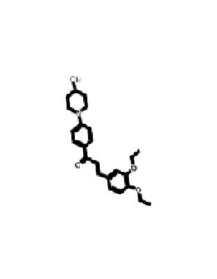 CCOc1ccc(/C=C/C(=O)c2ccc(N3CCC(O)CC3)cc2)cc1OCC